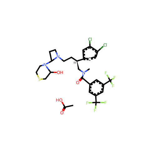 CC(=O)O.CN(C[C@@H](CCN1CCC1N1CCSCC1O)c1ccc(Cl)c(Cl)c1)C(=O)c1cc(C(F)(F)F)cc(C(F)(F)F)c1